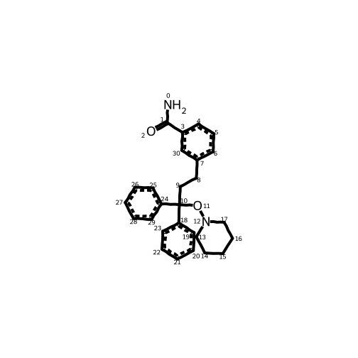 NC(=O)c1cccc(CCC(ON2CCCCC2)(c2ccccc2)c2ccccc2)c1